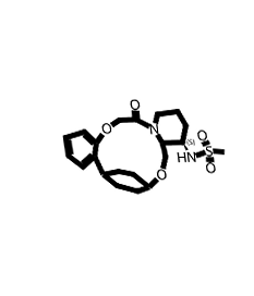 CS(=O)(=O)N[C@H]1CCCN2C(=O)COc3ccccc3C3CCC(CC3)OCC12